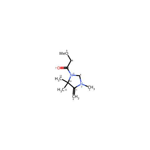 C=C1N(C)CN(C(=O)COC)C1(C)C